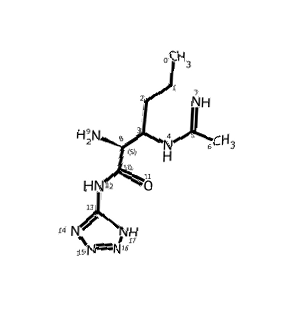 CCCC(NC(C)=N)[C@H](N)C(=O)Nc1nnn[nH]1